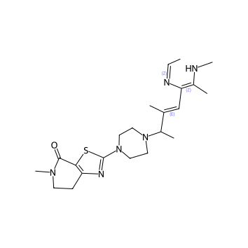 C\C=N/C(/C=C(\C)C(C)N1CCN(c2nc3c(s2)C(=O)N(C)CC3)CC1)=C(/C)NC